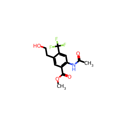 COC(=O)c1cc(CCO)c(C(F)(F)F)cc1NC(C)=O